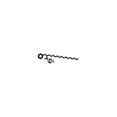 CCCCCCCCCCCCCCCC(Cc1ccccc1)C(C)n1ccnc1